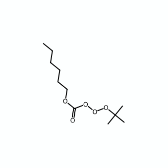 CCCCCCOC(=O)OOOC(C)(C)C